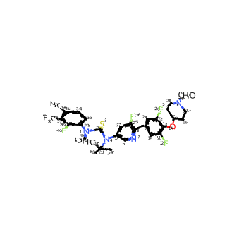 CN(C(=S)N(c1cnc(-c2cc(F)c(OC3CCN(C=O)CC3)c(F)c2)c(F)c1)C(C)(C)C=O)c1ccc(C#N)c(C(F)(F)F)c1F